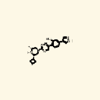 C[C@@H]1CN(c2ncc(-c3ccc(-c4cn[nH]c4)cc3O)nn2)C[C@H](C2CCC2)N1